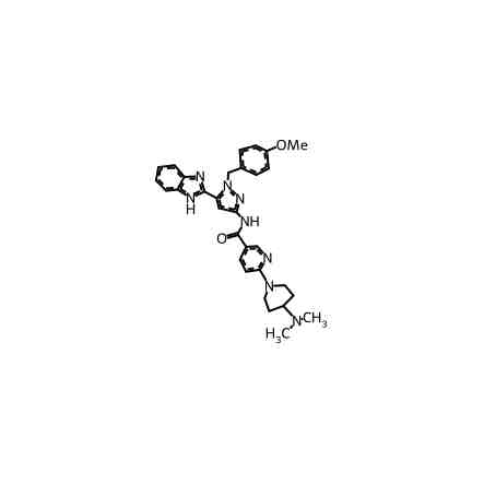 COc1ccc(Cn2nc(NC(=O)c3ccc(N4CCC(N(C)C)CC4)nc3)cc2-c2nc3ccccc3[nH]2)cc1